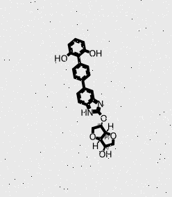 Oc1cccc(O)c1-c1ccc(-c2ccc3[nH]c(O[C@H]4CO[C@H]5[C@@H]4OC[C@H]5O)nc3c2)cc1